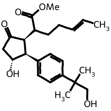 CC=CCCC(C(=O)OC)[C@@H]1C(=O)C[C@@H](O)[C@@H]1c1ccc(C(C)(C)CO)cc1